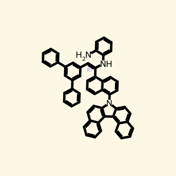 Nc1ccccc1N/C(=C/c1cc(-c2ccccc2)cc(-c2ccccc2)c1)c1cccc2c(-n3c4ccc5ccccc5c4c4c5ccccc5ccc43)cccc12